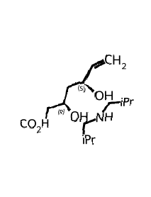 C=C[C@@H](O)C[C@@H](O)CC(=O)O.CC(C)CNCC(C)C